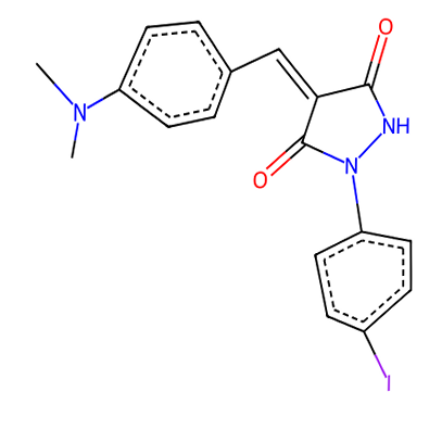 CN(C)c1ccc(C=C2C(=O)NN(c3ccc(I)cc3)C2=O)cc1